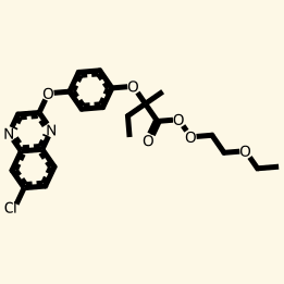 CCOCCOOC(=O)C(C)(CC)Oc1ccc(Oc2cnc3cc(Cl)ccc3n2)cc1